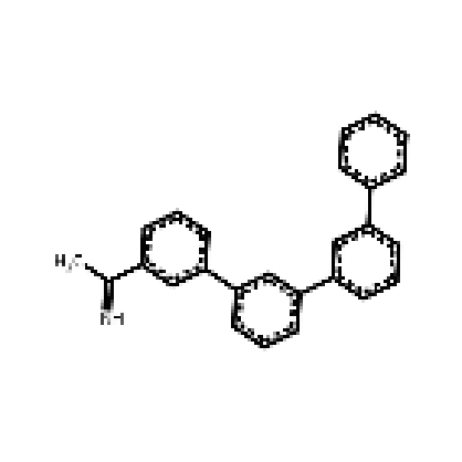 CC(=N)c1cccc(-c2cccc(-c3cccc(-c4ccccc4)c3)c2)c1